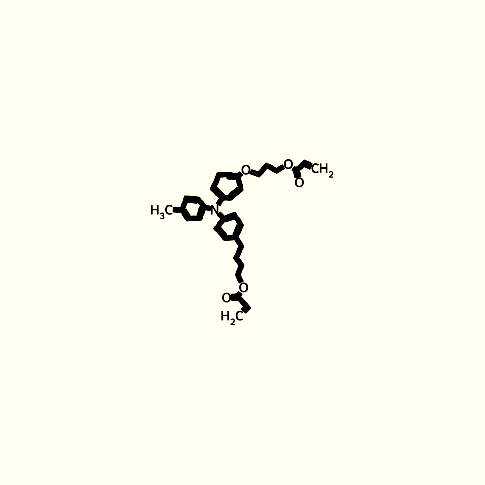 C=CC(=O)OCCCCc1ccc(N(C2=CCC=C(OCCCOC(=O)C=C)C=C2)c2ccc(C)cc2)cc1